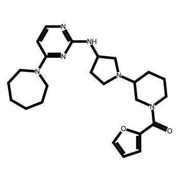 O=C(c1ccco1)N1CCCC(N2CCC(Nc3nccc(N4CCCCCC4)n3)C2)C1